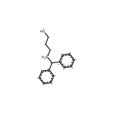 OCCC[SiH2]C(c1ccccc1)c1ccccc1